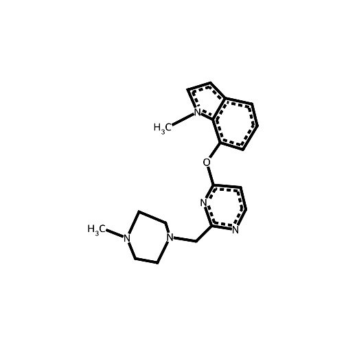 CN1CCN(Cc2nccc(Oc3cccc4ccn(C)c34)n2)CC1